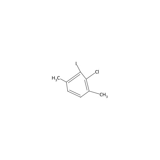 Cc1ccc(C)c(I)c1Cl